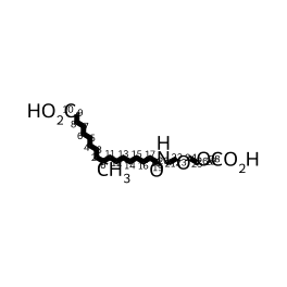 CC(CCCCCCCCC(=O)O)CCCCCCCC(=O)NCCOCCOCC(=O)O